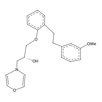 COc1cccc(CCc2ccccc2OC[C@H](O)CN2C=COC=C2)c1